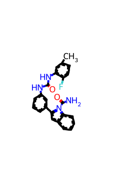 Cc1ccc(F)c(NC(=O)Nc2cccc(-c3cc4ccccc4n3C(N)=O)c2)c1